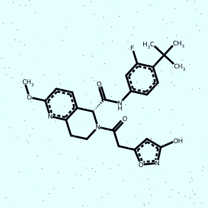 COc1ccc2c(n1)CCN(C(=O)Cc1cc(O)no1)[C@H]2C(=O)Nc1ccc(C(C)(C)C)c(F)c1